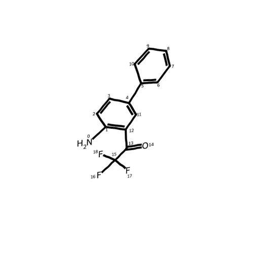 Nc1ccc(-c2ccccc2)cc1C(=O)C(F)(F)F